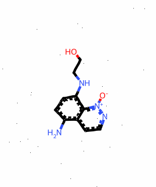 Nc1ccc(NCCO)c2c1ccn[n+]2[O-]